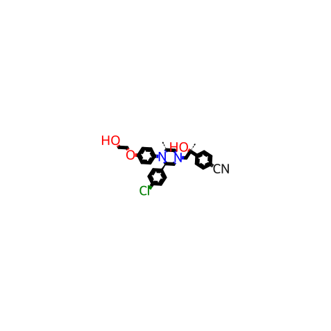 C[C@@H]1CN(C[C@@](C)(O)c2ccc(C#N)cc2)C[C@@H](c2ccc(Cl)cc2)N1c1ccc(OCCO)cc1